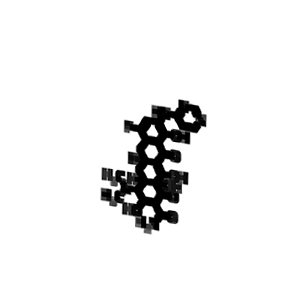 CN(C)[C@@H]1C(O)=C(C(N)=O)C(=O)[C@@]2(O)C(O)=C3C(=O)c4c(O)c(Nc5ccncn5)cc(F)c4C[C@H]3C[C@@H]12